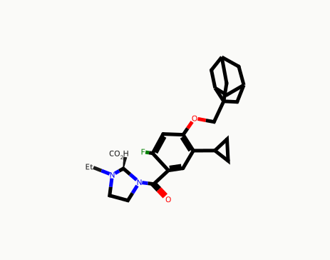 CCN1CCN(C(=O)c2cc(C3CC3)c(OCC34CC5CC(CC3C5)C4)cc2F)[C@@H]1C(=O)O